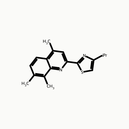 Cc1ccc2c(C)cc(-c3nc(C(C)C)cs3)nc2c1C